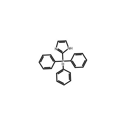 c1ccc([PH](c2ccccc2)(c2ccccc2)c2ncc[nH]2)cc1